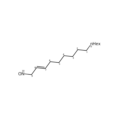 CCCCCCCCCCCCC=CCN=O